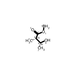 BOC(=O)[C@@H](C)[C@@H](C)O